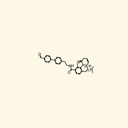 CN(C)[C@@H]1Cc2ccc(C(=O)NCCc3ccc(-c4ccc(C=O)cc4)cc3)c3c2C2[C@H]1C=CC[C@H]2O3